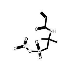 C=CC(=O)NC(C)(C)CS(=O)(=O)O[SH](=O)=O